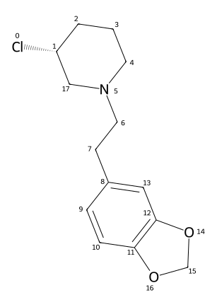 Cl[C@@H]1CCCN(CCc2ccc3c(c2)OCO3)C1